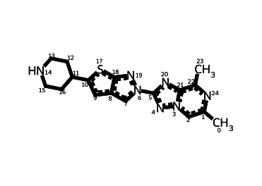 Cc1cn2nc(-n3cc4cc(C5CCNCC5)sc4n3)nc2c(C)n1